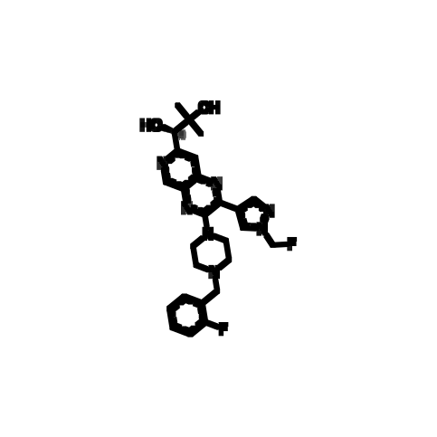 CC(C)(O)[C@H](O)c1cc2nc(-c3cnn(CF)c3)c(N3CCN(Cc4ccccc4F)CC3)nc2cn1